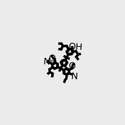 CCCc1cc(C(C)(c2ccc(C(C)(C)c3cc(CC(C)CC)c(O)c(CC(CC)CC)c3)cc2)c2cc(COC)c(C#N)c(CC(C)CC)c2)cc(COC)c1C#N